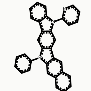 c1ccc(-n2c3cc4ccccc4cc3c3cc4c(cc32)c2ccccc2n4-c2ccccn2)cc1